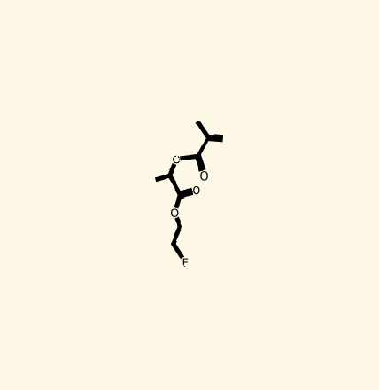 C=C(C)C(=O)OC(C)C(=O)OCCF